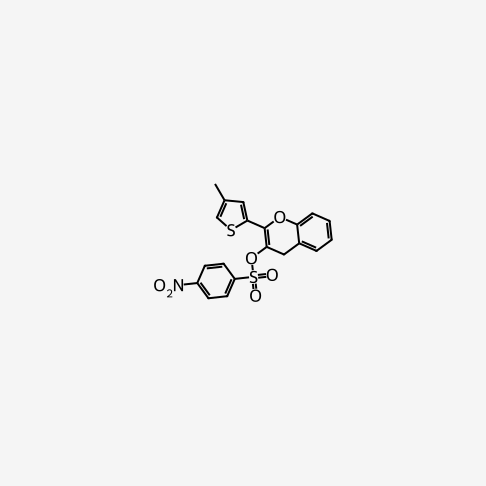 Cc1csc(C2=C(OS(=O)(=O)c3ccc([N+](=O)[O-])cc3)Cc3ccccc3O2)c1